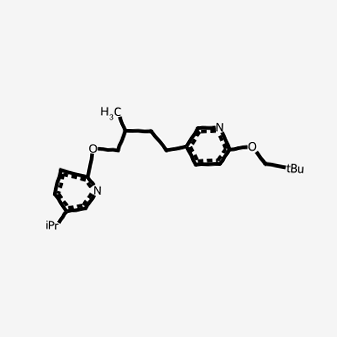 CC(CCc1ccc(OCC(C)(C)C)nc1)COc1ccc(C(C)C)cn1